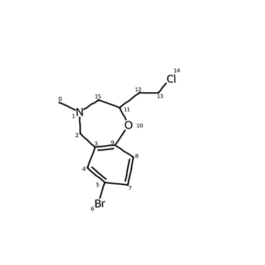 CN1Cc2cc(Br)ccc2OC(CCCl)C1